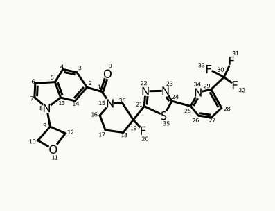 O=C(c1ccc2ccn(C3COC3)c2c1)N1CCCC(F)(c2nnc(-c3cccc(C(F)(F)F)n3)s2)C1